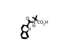 CC(C)(NC(=O)c1ccc2ccccc2n1)C(=O)O